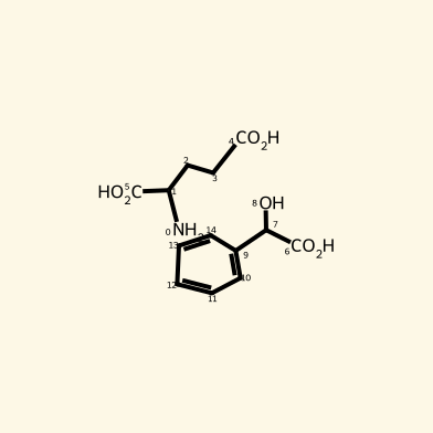 NC(CCC(=O)O)C(=O)O.O=C(O)C(O)c1ccccc1